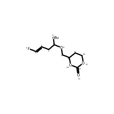 CCCCC(CC=CF)OCC1CCOC(=O)O1